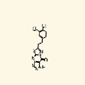 O=c1c2[nH]nnc2nc2sc(CCc3ccc(Cl)c(Cl)c3)nn12